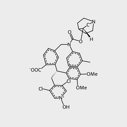 COc1ccc([C@H](Cc2c(Cl)c[n+](O)cc2Cl)c2cc(CN(C(=O)O[C@H]3CN4CCC3CC4)c3cccc(C)c3)ccc2C(=O)[O-])cc1OC